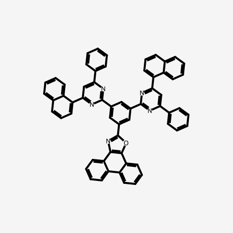 c1ccc(-c2cc(-c3cccc4ccccc34)nc(-c3cc(-c4nc(-c5ccccc5)cc(-c5cccc6ccccc56)n4)cc(-c4nc5c6ccccc6c6ccccc6c5o4)c3)n2)cc1